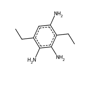 CCc1cc(N)c(CC)c(N)c1N